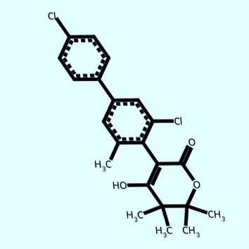 Cc1cc(-c2ccc(Cl)cc2)cc(Cl)c1C1=C(O)C(C)(C)C(C)(C)OC1=O